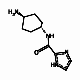 N[C@H]1CC[C@H](NC(=O)c2ncc[nH]2)CC1